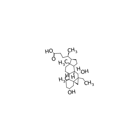 CCC12C[C@]13C[C@H](O)CC[C@]3(C)[C@H]1CC[C@]3(C)[C@@H]([C@H](C)CCC(=O)O)CC[C@H]3[C@@H]1[C@@H]2O